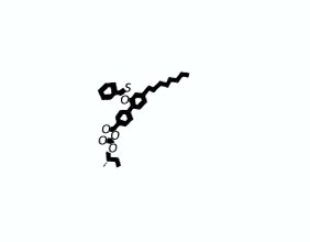 CCCCCCCCc1ccc(-c2ccc(C(=O)OC(=O)OC[C@@H](C)CC)cc2)c(OC(=S)c2ccccc2)c1